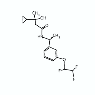 C[C@H](NC(=O)CC(C)(O)C1CC1)c1cccc(OC(F)C(F)F)c1